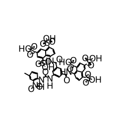 Cc1ccc(NC(=O)Nc2cc(C(=O)Nc3ccc(S(=O)(=O)O)c4cc(S(=O)(=O)O)cc(S(=O)(=O)O)c34)cc(C(=O)Nc3ccc(S(=O)(=O)O)c4cc(S(=O)(=O)O)cc(S(=O)(=O)O)c34)c2)c([N+](=O)[O-])c1